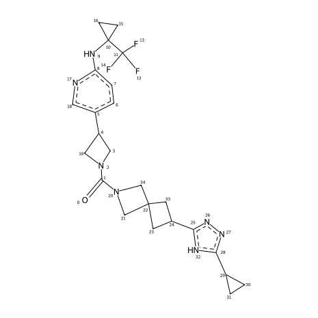 O=C(N1CC(c2ccc(NC3(C(F)(F)F)CC3)nc2)C1)N1CC2(CC(c3nnc(C4CC4)[nH]3)C2)C1